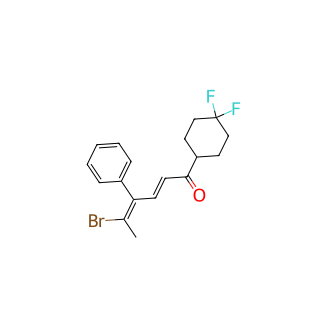 C/C(Br)=C(\C=C\C(=O)C1CCC(F)(F)CC1)c1ccccc1